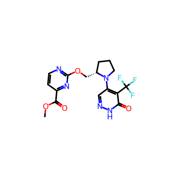 COC(=O)c1ccnc(OC[C@@H]2CCCN2c2cn[nH]c(=O)c2C(F)(F)F)n1